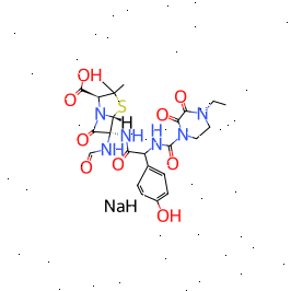 CCN1CCN(C(=O)NC(C(=O)N[C@]2(NC=O)C(=O)N3[C@@H](C(=O)O)C(C)(C)S[C@@H]32)c2ccc(O)cc2)C(=O)C1=O.[NaH]